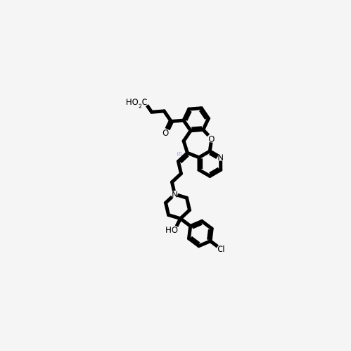 O=C(O)CCC(=O)c1cccc2c1C/C(=C/CCN1CCC(O)(c3ccc(Cl)cc3)CC1)c1cccnc1O2